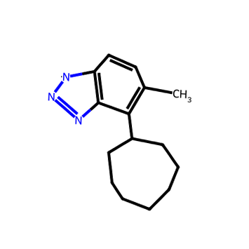 Cc1ccc2c(c1C1CCCCCCC1)N=N[N]2